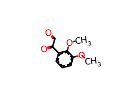 COc1cccc(C(=O)C=O)c1OC